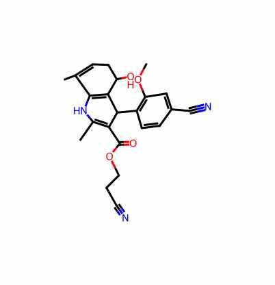 COc1cc(C#N)ccc1C1C(C(=O)OCCC#N)=C(C)NC2=C1C(O)CC=C2C